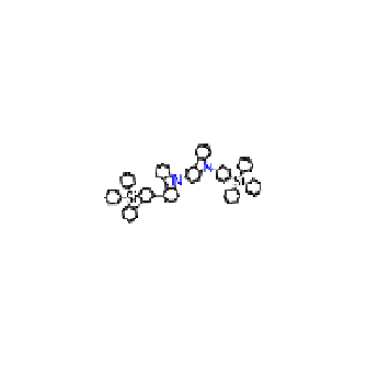 c1ccc([Si](c2ccccc2)(c2ccccc2)c2ccc(-n3c4ccccc4c4cc(-n5c6ccccc6c6c(-c7ccc8c(c7)-c7ccccc7[Si]8(c7ccccc7)c7ccccc7)cccc65)ccc43)cc2)cc1